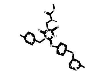 COC(=O)[C@@H](C)Cn1c(=O)[nH]/c(=N\c2ccc(Oc3ccnc(C)c3)cc2)n(Cc2ccc(C)cc2)c1=O